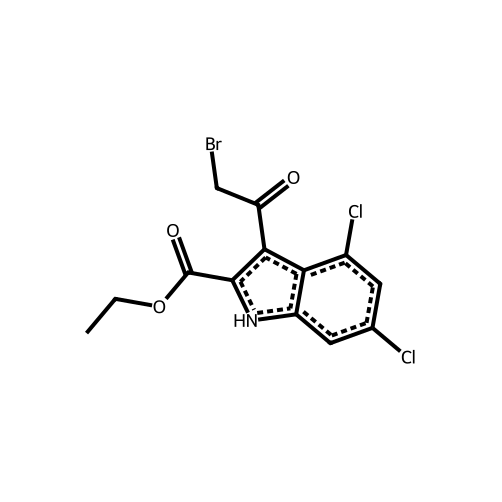 CCOC(=O)c1[nH]c2cc(Cl)cc(Cl)c2c1C(=O)CBr